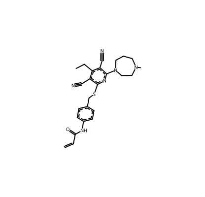 C=CC(=O)Nc1ccc(CSc2nc(N3CCCN(C)CC3)c(C#N)c(CC)c2C#N)cc1